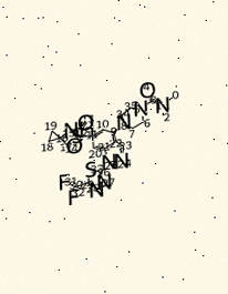 CN(C)C(=O)N1CCN(c2cc(S(=O)(=O)NC3(C)CC3)cc3c2cnn3-c2nnc(C(F)F)s2)CC1